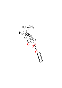 CC(C)CCC[C@@H](C)[C@H]1CCC2C3CC(=O)C4CC(OC(=O)CCCOc5ccc6cc7ccccc7cc6c5)CC[C@]4(C)C3CC[C@@]21C